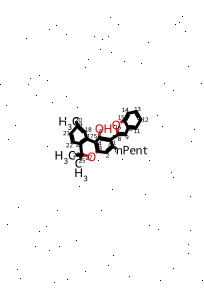 CCCCCc1cc2c(c(O)c1-c1cc3ccccc3o1)-c1cc(C)ccc1C(C)(C)O2